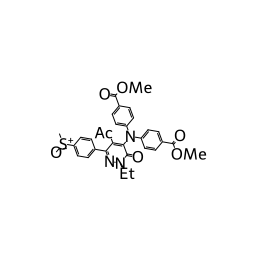 CCn1nc(-c2ccc([S+](C)[O-])cc2)c(C(C)=O)c(N(c2ccc(C(=O)OC)cc2)c2ccc(C(=O)OC)cc2)c1=O